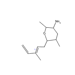 C=C/C(C)=C/CC1OC(C)C(N)CC1C